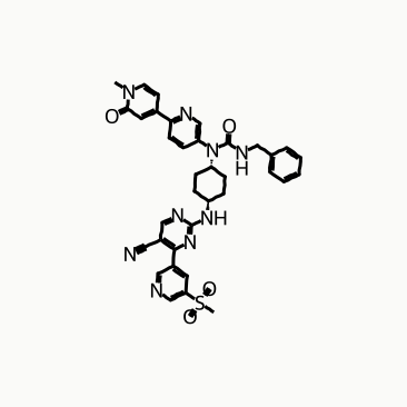 Cn1ccc(-c2ccc(N(C(=O)NCc3ccccc3)[C@H]3CC[C@H](Nc4ncc(C#N)c(-c5cncc(S(C)(=O)=O)c5)n4)CC3)cn2)cc1=O